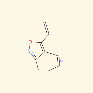 C=Cc1onc(C)c1/C=C\C